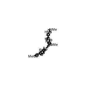 CN[C@@H](C)C(=O)Nc1ccc(C2=CN3C(=O)c4cc(OC)c(OCCCOc5cc6c(cc5C)C(=O)N5C=C(c7ccc(OC)cc7)C[C@H]5C=N6)cc4N=C[C@@H]3C2)cc1